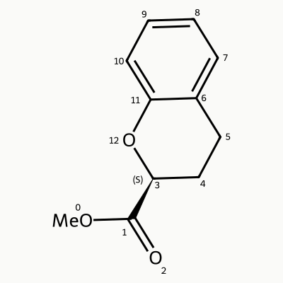 COC(=O)[C@@H]1CCc2ccccc2O1